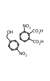 O=C(O)c1cccc([N+](=O)[O-])c1C(=O)O.O=[N+]([O-])c1ccc(CO)cc1